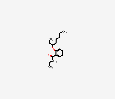 CCCCCC(CC)Oc1ccccc1C(=O)[SiH2]CC